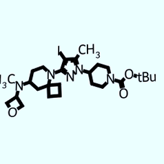 Cc1c(I)c(N2CCC(N(C)C3COC3)CC23CCC3)nn1C1CCN(C(=O)OC(C)(C)C)CC1